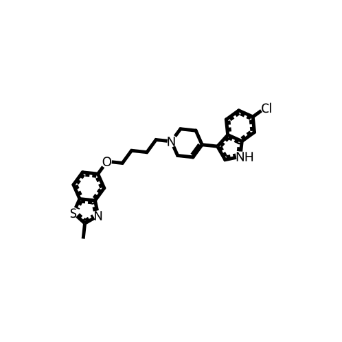 Cc1nc2cc(OCCCCN3CC=C(c4c[nH]c5cc(Cl)ccc45)CC3)ccc2s1